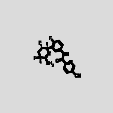 C[C@@]1(F)C[C@H](F)[C@@](C)(c2cc(NC(=O)c3ccc(C#N)cn3)ccc2F)N=C1N